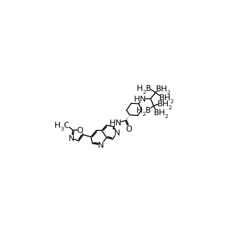 BC(B)(B)C(N[C@H]1CC[C@H](C(=O)Nc2cc3cc(-c4cnc(C)o4)cnc3cn2)CC1)C(B)(B)B